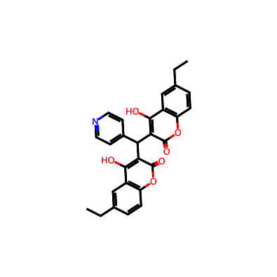 CCc1ccc2oc(=O)c(C(c3ccncc3)c3c(O)c4cc(CC)ccc4oc3=O)c(O)c2c1